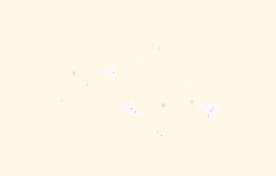 CC(C)(C)OC(=O)N1CC2(CCCC2)CC1C(=O)NC(C#N)Cc1ccc[nH]c1=O